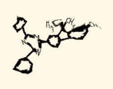 Cc1ccc2c(c1)C(C)(C)c1cc(-c3nc(-c4ccccc4)nc(-c4ccccc4)n3)ccc1-2